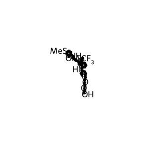 COc1cc(SC)ccc1NCC#Cc1cc2c(NC3CCN(CCOCCOCCO)CC3)cccc2n1CC(F)(F)F